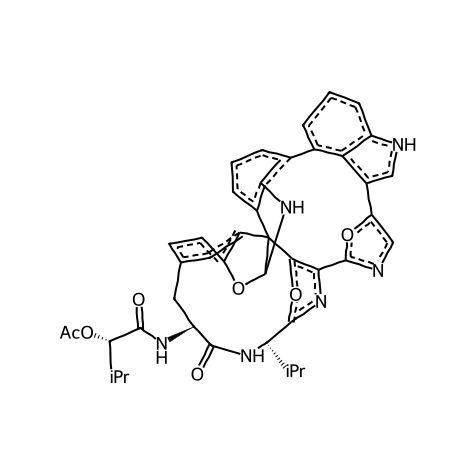 CC(=O)O[C@H](C(=O)N[C@H]1Cc2ccc3c(c2)C24c5cccc(c5NC2O3)-c2cccc3[nH]cc(c23)-c2cnc(o2)-c2nc(oc24)[C@H](C(C)C)NC1=O)C(C)C